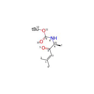 CC(C)=CC(=O)[C@H](C)NC(=O)OC(C)(C)C